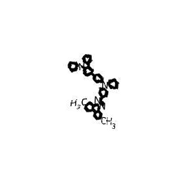 Cc1ccc2c3ccc(C)cc3c3nc(-c4ccc(N(c5ccccc5)c5ccc(-c6ccc7c(c6)c6ccccc6n7-c6ccccc6)cc5)cc4)cnc3c2c1